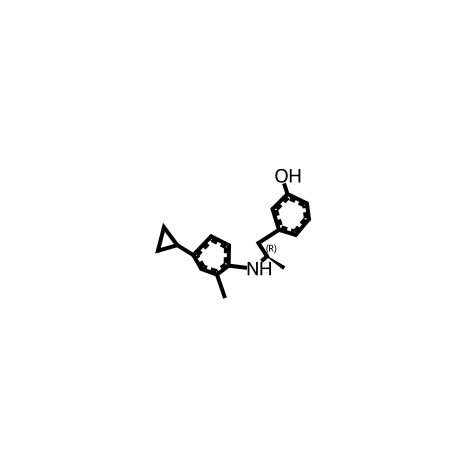 Cc1cc(C2CC2)ccc1N[C@H](C)Cc1cccc(O)c1